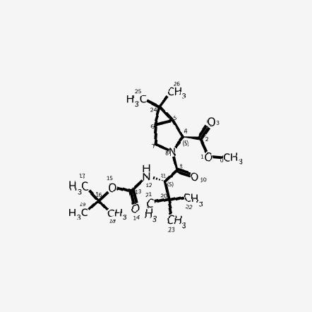 COC(=O)[C@@H]1C2C(CN1C(=O)[C@@H](NC(=O)OC(C)(C)C)C(C)(C)C)C2(C)C